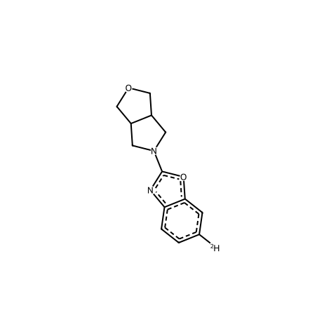 [2H]c1ccc2nc(N3CC4COCC4C3)oc2c1